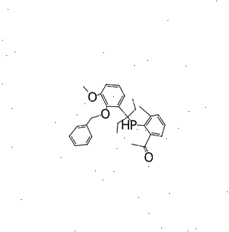 CCC(CC)(Pc1c(C)cccc1C(C)=O)c1cccc(OC)c1OCc1ccccc1